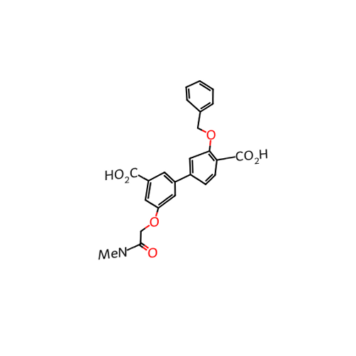 CNC(=O)COc1cc(C(=O)O)cc(-c2ccc(C(=O)O)c(OCc3ccccc3)c2)c1